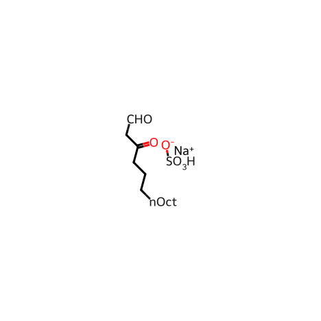 CCCCCCCCCCCC(=O)CC=O.O=S(=O)([O-])O.[Na+]